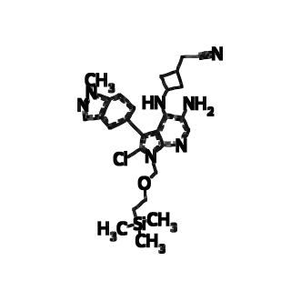 Cn1ncc2cc(-c3c(Cl)n(COCC[Si](C)(C)C)c4ncc(N)c(NC5CC(CC#N)C5)c34)ccc21